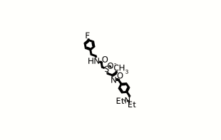 CCN(CC)Cc1ccc(-c2nc(C[S+]([O-])CC(=O)NCCc3ccc(F)cc3)c(C)o2)cc1